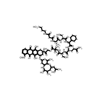 COc1cccc2c1C(=O)c1c(O)c3c(c(O)c1C2=O)C[C@@](O)(C(=O)COC(=O)C(C)(C)NC(=O)[C@H](CO)NC(=O)[C@H](CCC(N)=O)NC(=O)C(NC(=O)[C@H](CO)NC(=O)[C@H](C)NC(=O)CC(=O)NCCCC(=O)O)C1CCCCC1)C[C@@H]3OC1CC2NC(O)C(C)CC(CC(C)O)OC2C(C)O1